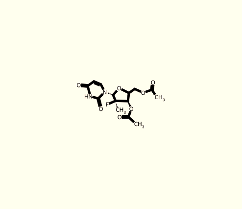 CC(=O)OCC1O[C@@H](n2ccc(=O)[nH]c2=O)[C@](C)(F)[C@@H]1OC(C)=O